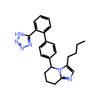 CCCCc1cnc2n1C(c1ccc(-c3ccccc3-c3nnn[nH]3)cc1)CCC2